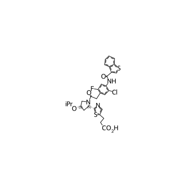 CC(C)O[C@H]1C[C@@H](c2ncc(CCC(=O)O)s2)N(C(=O)Cc2cc(Cl)c(NC(=O)c3csc4ccccc34)cc2F)C1